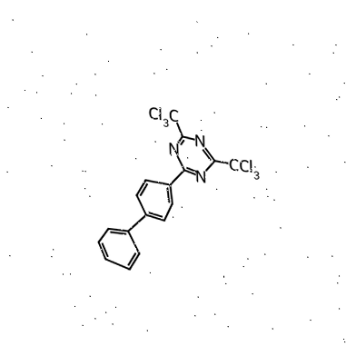 ClC(Cl)(Cl)c1nc(-c2ccc(-c3ccccc3)cc2)nc(C(Cl)(Cl)Cl)n1